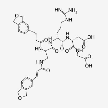 N=C(N)NCCC[C@@H](NC(=O)C(CNC(=O)/C=C/c1ccc2c(c1)COC2)NC(=O)/C=C/c1ccc2c(c1)COC2)C(=O)N[C@H](CC(=O)O)C(=O)NCC(=O)O